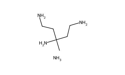 CC(N)(CCN)CCN.N